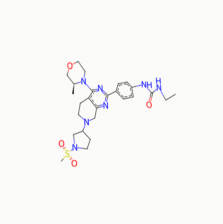 CCNC(=O)Nc1ccc(-c2nc3c(c(N4CCOC[C@@H]4C)n2)CCN(C2CCN(S(C)(=O)=O)C2)C3)cc1